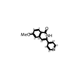 COc1ccc2c(=O)[nH]c(-c3ccncc3)cc2c1